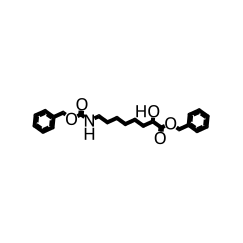 O=C(NCCCCCCC(O)C(=O)OCc1ccccc1)OCc1ccccc1